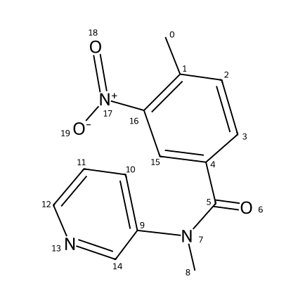 Cc1ccc(C(=O)N(C)c2cccnc2)cc1[N+](=O)[O-]